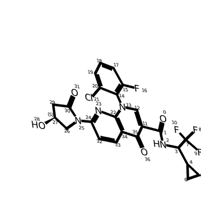 O=C(NC(C1CC1)C(F)(F)F)c1cn(-c2c(F)cccc2Cl)c2nc(N3C[C@@H](O)CC3=O)ccc2c1=O